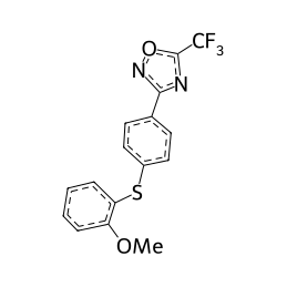 COc1ccccc1Sc1ccc(-c2noc(C(F)(F)F)n2)cc1